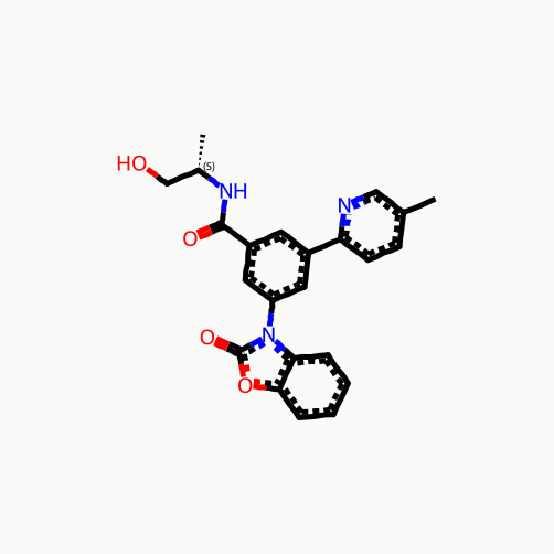 Cc1ccc(-c2cc(C(=O)N[C@@H](C)CO)cc(-n3c(=O)oc4ccccc43)c2)nc1